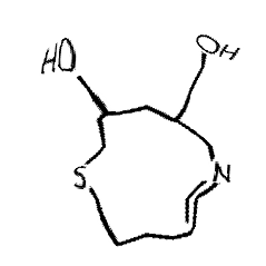 OC1N=CCSC1O